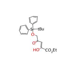 CCOC(=O)/C(O)=C/C(=O)CO[Si](c1ccccc1)(c1ccccc1)C(C)(C)C